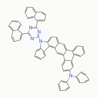 c1ccc(N(c2ccccc2)c2ccc3c(c2)c2ccccc2c2cc4ccc5c(c4cc32)c2ccccc2n5-c2nc(-c3cccc4ccccc34)nc(-c3cccc4ccccc34)n2)cc1